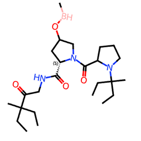 CBOC1C[C@@H](C(=O)NCC(=O)C(C)(CC)CC)N(C(=O)C2CCCN2C(C)(CC)CC)C1